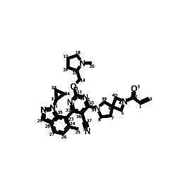 C=CC(=O)N1CC2(CCN(c3nc(OCC4CCCN4C)nc(-c4c(C)ccc5cnn(C6CC6)c45)c3C#N)C2)C1